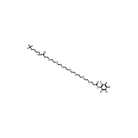 Cc1c(F)c(F)c(F)c(OC(=O)CCOCCOCCOCCOCCOCCOCCOCCC(=O)NCCCCC(C)(C)C)c1F